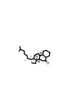 CC(C)CCC[C@@H](C)[C@H]1CC[C@H]2[C@@H]3CC(=O)C4C[CH]CC[C@]4(C)[C@H]3CC[C@]12C